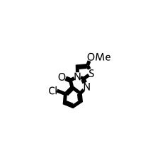 COc1cn2c(=O)c3c(Cl)cccc3nc2s1